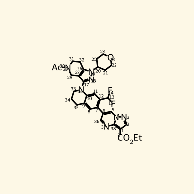 CCOC(=O)c1cnn2cc(-c3cc4c(cc3C(F)F)N(c3nn(C5CCOCC5)c5c3CN(C(C)=O)CC5)CCC4)cnc12